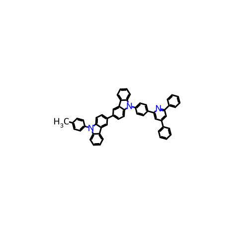 Cc1ccc(-n2c3ccccc3c3cc(-c4ccc5c(c4)c4ccccc4n5-c4ccc(-c5cc(-c6ccccc6)cc(-c6ccccc6)n5)cc4)ccc32)cc1